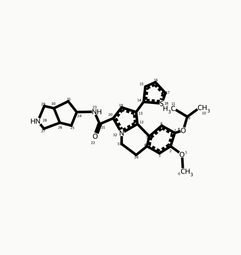 COc1cc2c(cc1OC(C)C)-c1c(-c3cccs3)cc(C(=O)NC3CC4CNCC4C3)n1CC2